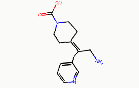 NCC(=C1CCN(C(=O)O)CC1)c1cccnc1